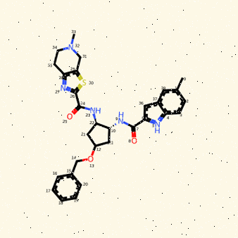 Cc1ccc2[nH]c(C(=O)N[C@@H]3CC(OCc4ccccc4)C[C@H]3NC(=O)c3nc4c(s3)CN(C)CC4)cc2c1